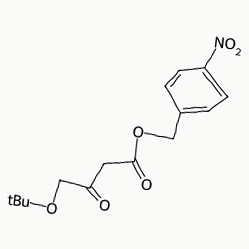 CC(C)(C)OCC(=O)CC(=O)OCc1ccc([N+](=O)[O-])cc1